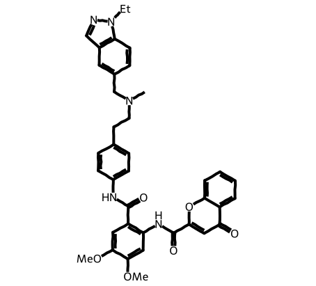 CCn1ncc2cc(CN(C)CCc3ccc(NC(=O)c4cc(OC)c(OC)cc4NC(=O)c4cc(=O)c5ccccc5o4)cc3)ccc21